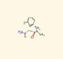 CN(C)C(=O)CC(N)=O.Clc1ccccc1